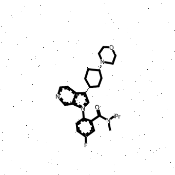 CC(C)N(C)C(=O)c1cc(F)ccc1-n1cc([C@H]2CC[C@@H](N3CCOCC3)CC2)c2ccncc21